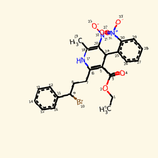 CCOC(=O)C1=C(CCC(Br)c2ccccc2)NC(C)=C([N+](=O)[O-])C1c1ccccc1[N+](=O)[O-]